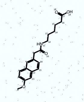 COc1ccc2cc(CC(=O)NCCCCCC(=O)O)ccc2c1